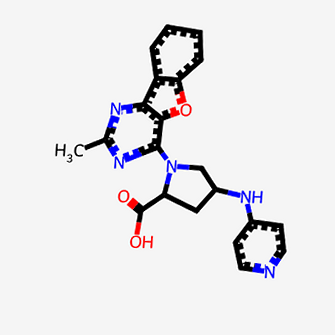 Cc1nc(N2CC(Nc3ccncc3)CC2C(=O)O)c2oc3ccccc3c2n1